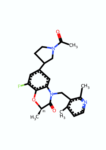 CC(=O)N1CCC(c2cc(F)c3c(c2)N(Cc2c(C)ccnc2C)C(=O)[C@@H](C)O3)C1